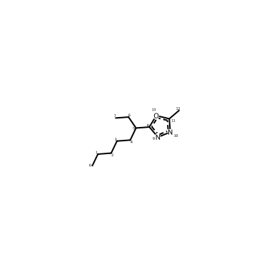 CCCCCC(CC)c1nnc(C)o1